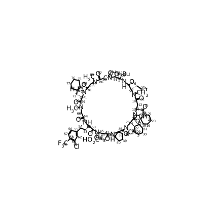 CC[C@H](C)[C@@H]1NC(=O)[C@H](CC(C)C)N(C)C(=O)C[C@@H](C(=O)N2CCCCC2)N(C)C(=O)[C@H](C2CCCCC2)N(C)C(=O)C2(CCCC2)NC(=O)[C@H](CC(=O)O)N(C)C(=O)[C@H](CCc2ccc(C(F)(F)F)c(Cl)c2)NC(=O)CN(C)C(=O)[C@H](CC2CCCCC2)N(C)C(=O)CN(C)C(=O)CN(C)C1=O